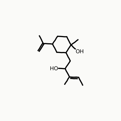 C=C(C)C1CCC(C)(O)C(CC(O)C(C)=CC)C1